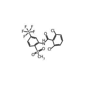 CS(=O)(=O)c1ccc(S(F)(F)(F)(F)F)cc1NC(=O)c1c(Cl)cccc1Cl